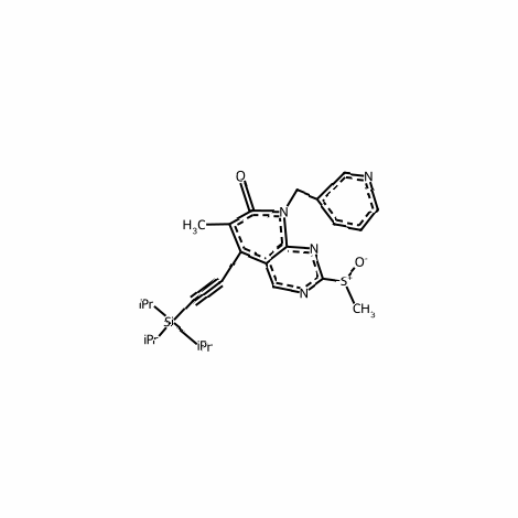 Cc1c(C#C[Si](C(C)C)(C(C)C)C(C)C)c2cnc([S+](C)[O-])nc2n(Cc2cccnc2)c1=O